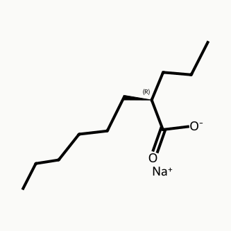 CCCCCC[C@@H](CCC)C(=O)[O-].[Na+]